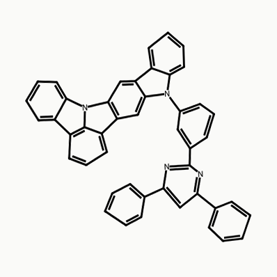 c1ccc(-c2cc(-c3ccccc3)nc(-c3cccc(-n4c5ccccc5c5cc6c(cc54)c4cccc5c7ccccc7n6c54)c3)n2)cc1